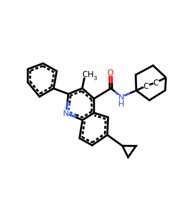 Cc1c(-c2ccccc2)nc2ccc(C3CC3)cc2c1C(=O)NC12CCC(CC1)CC2